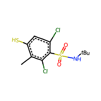 Cc1c(S)cc(Cl)c(S(=O)(=O)NC(C)(C)C)c1Cl